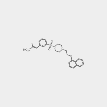 CC(=Cc1cccc(S(=O)(=O)N2CCN(CCOc3cccc4ccccc34)CC2)c1)C(=O)O